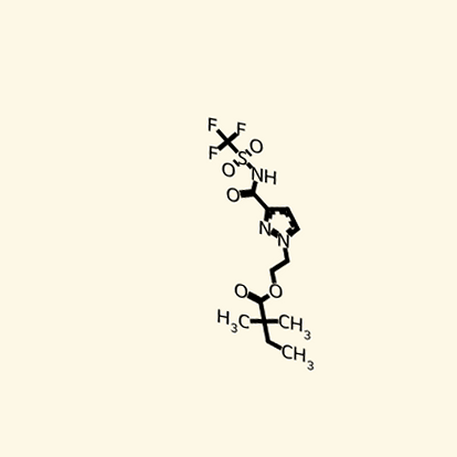 CCC(C)(C)C(=O)OCCn1ccc(C(=O)NS(=O)(=O)C(F)(F)F)n1